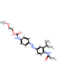 COCCOC(=O)Nc1ccc(N=Nc2ccc(NC(C)=O)c(C(C)C)c2)cc1